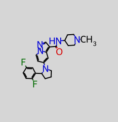 CN1CCC(NC(=O)c2cnn3ccc(N4CCCC4c4cc(F)ccc4F)cc23)CC1